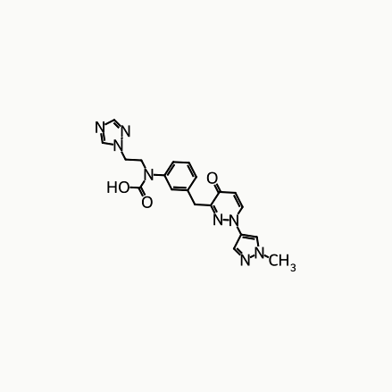 Cn1cc(-n2ccc(=O)c(Cc3cccc(N(CCn4cncn4)C(=O)O)c3)n2)cn1